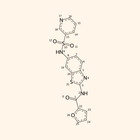 O=C(Nc1nc2ccc(NS(=O)(=O)c3cccnc3)cc2s1)c1ccco1